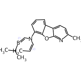 C/C=C\N(/C=B/C(C)C)c1cccc2c1oc1nc(C)ccc12